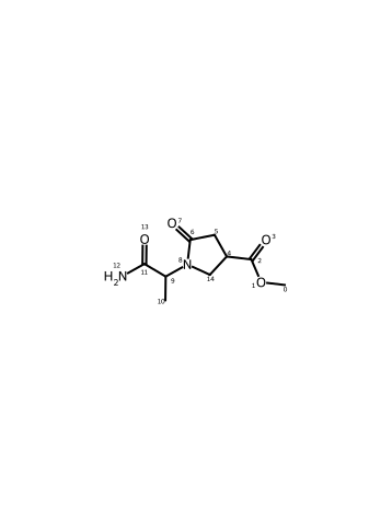 COC(=O)C1CC(=O)N(C(C)C(N)=O)C1